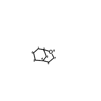 C1C[C]2CC(C1)CCO2